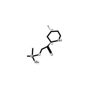 C[C@@H]1CCN[C@@H](C(=O)CO[Si](C)(C)C(C)(C)C)C1